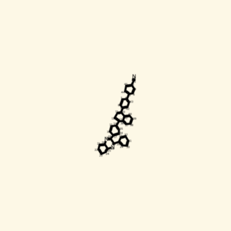 N#Cc1ccc(-c2ccc(-c3ccc(-c4ccc(-c5nc6ccccc6nc5-c5ccccc5)cc4)c4ccccc34)cc2)cc1